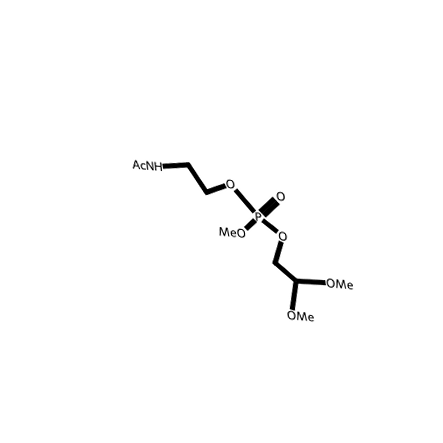 COC(COP(=O)(OC)OCCNC(C)=O)OC